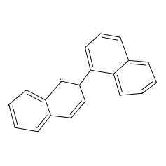 [C]1c2ccccc2C=CC1c1cccc2ccccc12